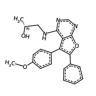 COc1ccc(-c2c(-c3ccccc3)oc3ncnc(NC[C@@H](C)O)c23)cc1